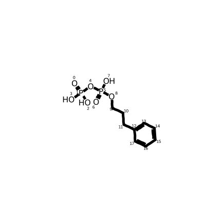 O=P(O)(O)OP(=O)(O)O[CH]CCc1ccccc1